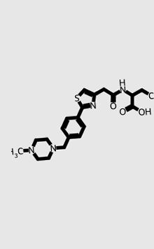 CCC(NC(=O)Cc1csc(-c2ccc(CN3CCN(C)CC3)cc2)n1)C(=O)O